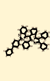 c1ccc(-c2ccc(-c3nc(-c4c(-c5ccccc5)n5nc(-c6ccccc6)c(-c6ccccc6)c5c5ccccc45)c4ccccc4n3)cc2)cc1